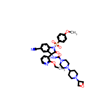 CCOc1ncccc1[C@]1(NC(=O)N2CCN(C3CCN(C4COC4)CC3)CC2)C(=O)N(S(=O)(=O)c2ccc(OC)cc2)c2ccc(C#N)cc21